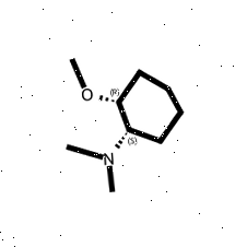 CO[C@@H]1CCCC[C@@H]1N(C)C